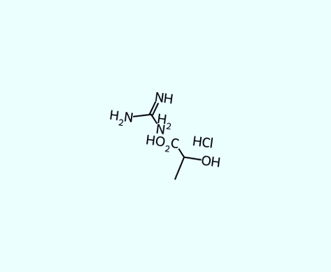 CC(O)C(=O)O.Cl.N=C(N)N